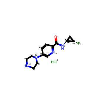 Cl.O=C(N[C@@H]1C[C@@H]1F)c1ccc(N2CCNCC2)cn1